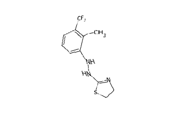 Cc1c(NNC2=NCCS2)cccc1C(F)(F)F